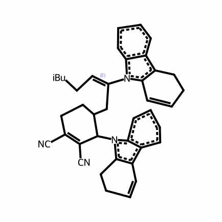 CCC(C)C/C=C(\CC1CCC(C#N)=C(C#N)C1n1c2c(c3ccccc31)C=CCC2)n1c2c(c3ccccc31)CCC=C2